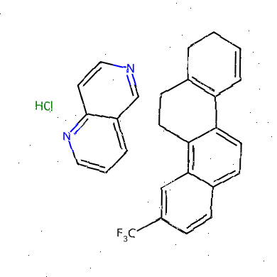 Cl.FC(F)(F)c1ccc2ccc3c(c2c1)CCC1=C3C=CCC1.c1cnc2ccncc2c1